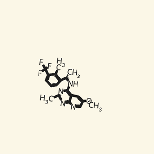 COc1cnc2nc(C)nc(N[C@H](C)c3cccc(C(F)(F)F)c3C)c2c1